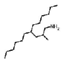 CCCCCCC(CCCCCC)CC(C)CN